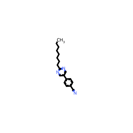 CCCCCCCCc1ncc(-c2ccc(C#N)cc2)cn1